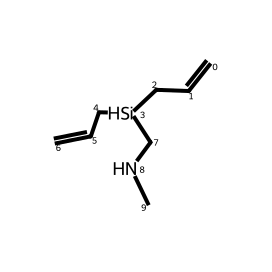 C=CC[SiH](CC=C)CNC